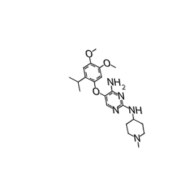 COc1cc(Oc2cnc(NC3CCN(C)CC3)nc2N)c(C(C)C)cc1OC